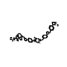 C[C@@H]1CN(c2ccc(OC[C@@H]3CCn4cc([N+](=O)[O-])nc4O3)cc2)[C@@H](C)CN1Cc1ccc(OCc2ccc(C(F)(F)F)cc2)cc1